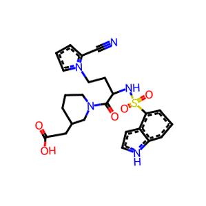 N#Cc1cccn1CCC(NS(=O)(=O)c1cccc2[nH]ccc12)C(=O)N1CCCC(CC(=O)O)C1